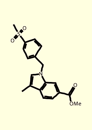 COC(=O)c1ccc2c(C)cn(Cc3ccc(S(C)(=O)=O)cc3)c2c1